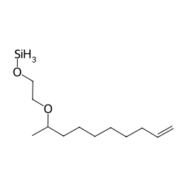 C=CCCCCCCC(C)OCCO[SiH3]